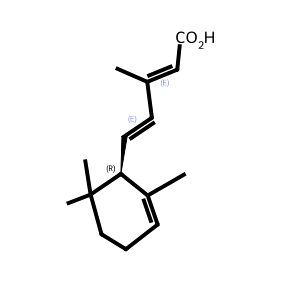 CC1=CCCC(C)(C)[C@H]1/C=C/C(C)=C/C(=O)O